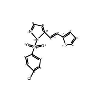 O=S(=O)(c1ccc(Cl)cc1)n1nccc1/C=C/c1cccs1